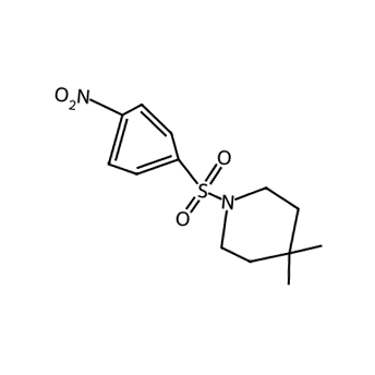 CC1(C)CCN(S(=O)(=O)c2ccc([N+](=O)[O-])cc2)CC1